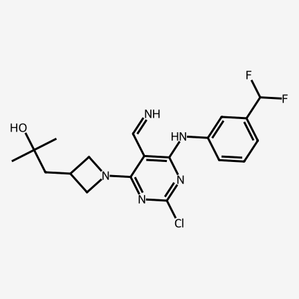 CC(C)(O)CC1CN(c2nc(Cl)nc(Nc3cccc(C(F)F)c3)c2C=N)C1